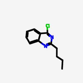 CCCCc1nc(Cl)c2ccccc2n1